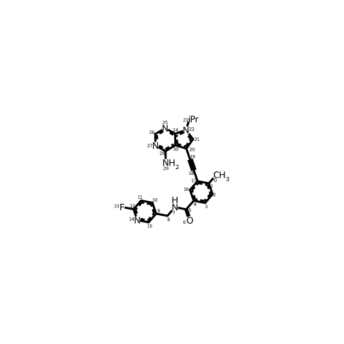 Cc1ccc(C(=O)NCc2ccc(F)nc2)cc1C#Cc1cn(C(C)C)c2ncnc(N)c12